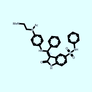 CNCCN(C(C)=O)c1ccc(N/C(=C2\C(=O)Nc3ccc(S(=O)(=O)Nc4ccccc4)cc32)c2ccccc2)cc1